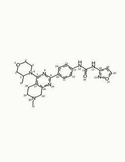 CC1COCCN1c1nc(-c2ccc(NC(=O)Nc3ccon3)cc2)nc2c1CCN(C)C2